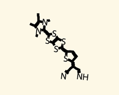 CC1=C(C)N(C)C(=C2SC3=C(S2)SC(=c2cc/c(=C(/C#N)C=N)s2)S3)N1C